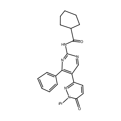 CC(C)n1nc(-c2cnc(NC(=O)C3CCCCC3)nc2-c2ccccc2)ccc1=O